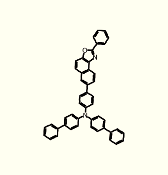 c1ccc(-c2ccc(N(c3ccc(-c4ccccc4)cc3)c3ccc(-c4ccc5c(ccc6oc(-c7ccccc7)nc65)c4)cc3)cc2)cc1